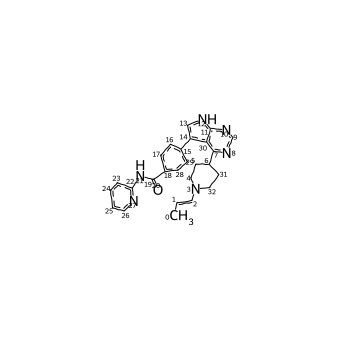 CC=CN1CCC(c2ncnc3[nH]cc(-c4ccc(C(=O)Nc5ccccn5)cc4)c23)CC1